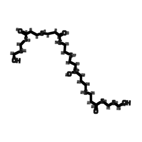 O=C(CCSCCC(=O)SCSCO)SCCSCC[S+]([O-])CCCSCCC(=O)SCSCO